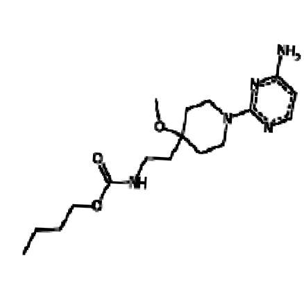 CCCCOC(=O)NCCC1(OC)CCN(c2nccc(N)n2)CC1